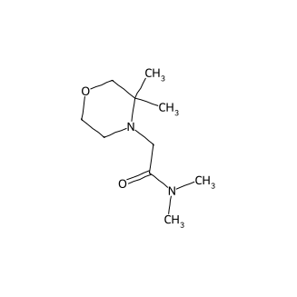 CN(C)C(=O)CN1CCOCC1(C)C